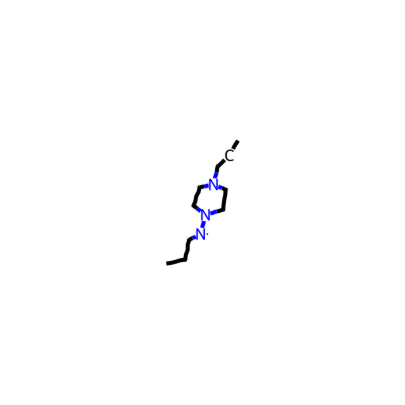 CCC[N]N1CCN(CCC)CC1